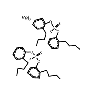 CCCCc1ccccc1OP(=S)([S-])Oc1ccccc1CCCC.CCCCc1ccccc1OP(=S)([S-])Oc1ccccc1CCCC.[Mo+6].[S-2].[S-2]